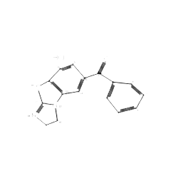 Cl.O=C(c1ccccc1)c1ccc2c(c1)N1CCN=C1S2